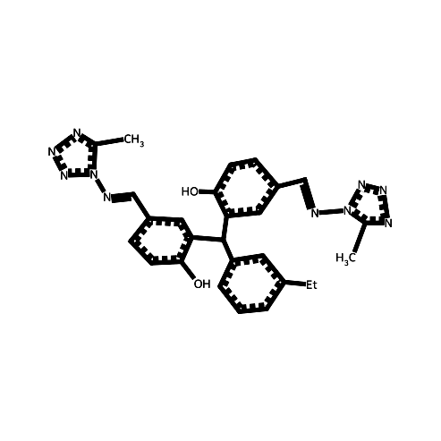 CCc1cccc(C(c2cc(C=Nn3nnnc3C)ccc2O)c2cc(C=Nn3nnnc3C)ccc2O)c1